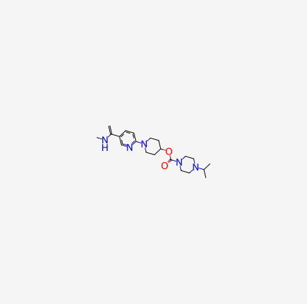 C=C(NC)c1ccc(N2CCC(OC(=O)N3CCN(C(C)C)CC3)CC2)nc1